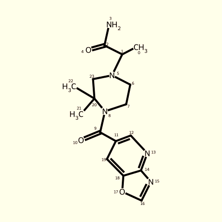 CC(C(N)=O)N1CCN(C(=O)c2cnc3ncoc3c2)C(C)(C)C1